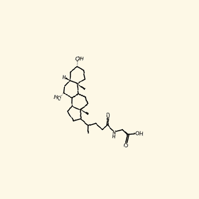 CC(CCC(=O)NCC(=O)O)C1CCC2C3C(CC[C@]12C)[C@@]1(C)CC[C@@H](O)C[C@H]1C[C@H]3O